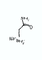 CCC(N)=O.[BH4-].[Na+]